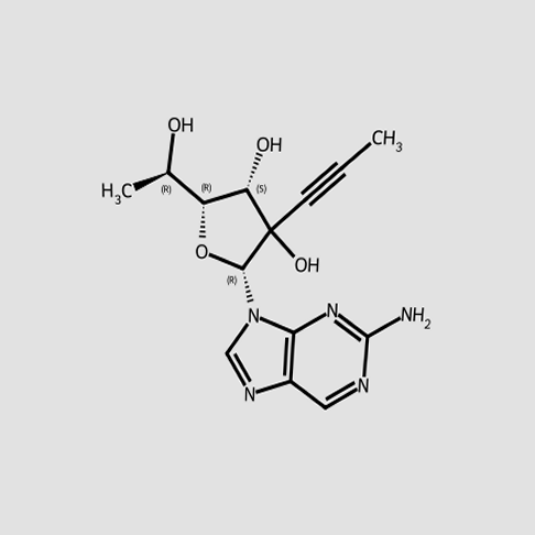 CC#CC1(O)[C@@H](O)[C@@H]([C@@H](C)O)O[C@H]1n1cnc2cnc(N)nc21